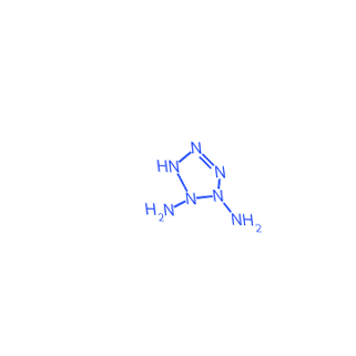 NN1N=NNN1N